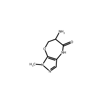 Cn1ncc2c1OCC(N)C(=O)N2